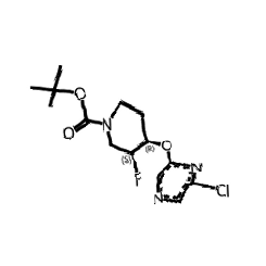 CC(C)(C)OC(=O)N1CC[C@@H](Oc2cncc(Cl)n2)[C@@H](F)C1